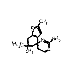 Cc1cc2c(s1)CC(C)(C)CC21CCSC(N)=N1